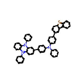 c1ccc(N(c2ccc(-c3ccc4c(c3)N(c3ccccc3)c3ccccc3N4c3ccccc3)cc2)c2ccc(-c3ccc4sc5ccccc5c4c3)cc2)cc1